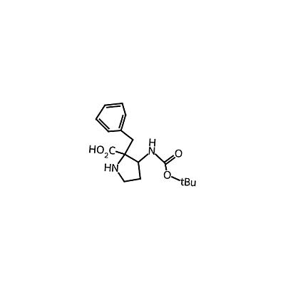 CC(C)(C)OC(=O)NC1CCNC1(Cc1ccccc1)C(=O)O